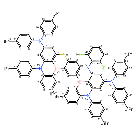 CC(C)c1ccc(N(c2ccc(C(C)C)cc2)c2cc3c4c(c2)N(c2ccc(C(C)C)cc2)c2ccc(C(C)C)cc2B4c2cc4c(cc2S3)N(c2c(F)cccc2F)c2cc(N(c3ccc(C(C)C)cc3)c3ccc(C(C)C)cc3)cc3c2B4c2cc(C(C)C)ccc2N3c2ccc(C(C)C)cc2)cc1